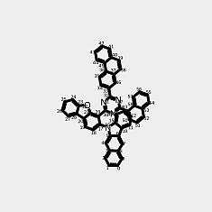 c1ccc2cc3c(cc2c1)c1ccccc1n3-c1ccc2c(oc3ccccc32)c1-c1nc(-c2ccc3c(ccc4ccccc43)c2)nc(-c2cccc3ccccc23)n1